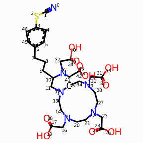 N#CSc1ccc(CCCC(CN2CCN(CC(=O)O)CCN(CC(=O)O)CCN(CC(=O)O)CC2)N(CC(=O)O)CC(=O)O)cc1